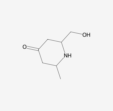 CC1CC(=O)CC(CO)N1